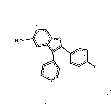 [CH2]c1ccn2nc(-c3ccc(F)cc3)c(-c3ccncc3)c2c1